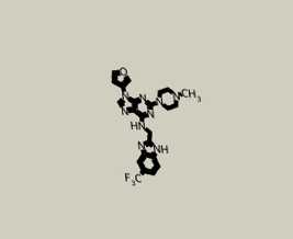 CN1CCN(c2nc(NCc3nc4cc(C(F)(F)F)ccc4[nH]3)c3ncn(-c4ccoc4)c3n2)CC1